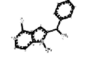 CC(c1ccccc1)c1cc2c(Cl)nccc2n1C